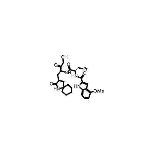 COc1cccc2[nH]c(C(=O)N[C@@H](CC(C)C)C(=O)NC(CC3CC4(CCCCC4)NC3=O)C(=O)CO)cc12